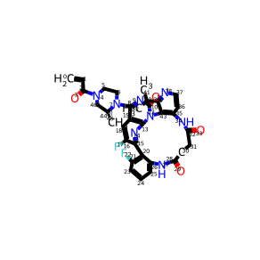 C=CC(=O)N1CCN(c2nc(=O)n3c4nc(c(F)cc24)-c2c(F)cccc2NC(=O)CCC(=O)Nc2ccnc(C(C)C)c2-3)[C@@H](C)C1